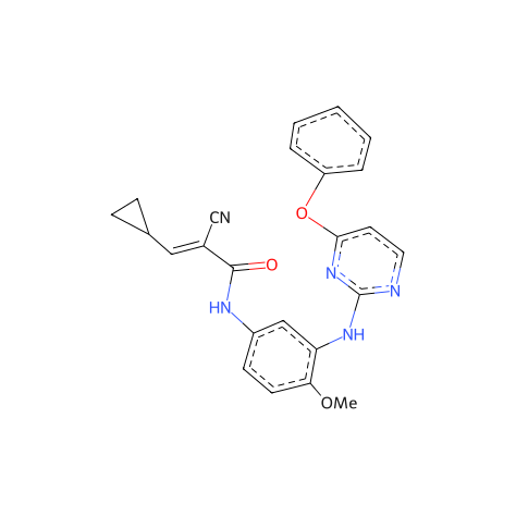 COc1ccc(NC(=O)C(C#N)=CC2CC2)cc1Nc1nccc(Oc2ccccc2)n1